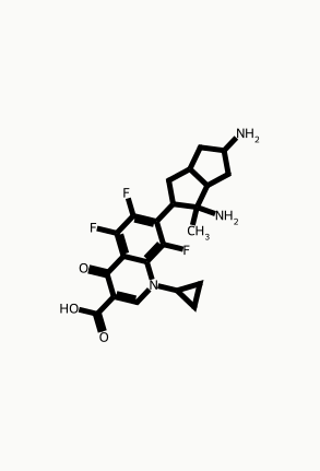 CC1(N)C(c2c(F)c(F)c3c(=O)c(C(=O)O)cn(C4CC4)c3c2F)CC2CC(N)CC21